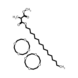 C1COCCOCCOCCO1.C1COCCOCCOCCO1.CCCCCCCCCCCCCCCCOC(=O)C(C)C(=O)OC